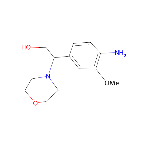 COc1cc(C(CO)N2CCOCC2)ccc1N